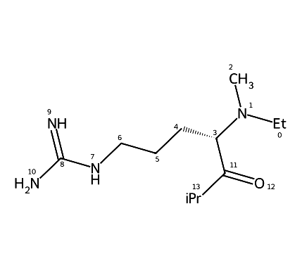 CCN(C)[C@@H](CCCNC(=N)N)C(=O)C(C)C